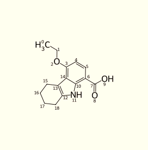 CCOc1ccc(C(=O)O)c2[nH]c3c(c12)CCCC3